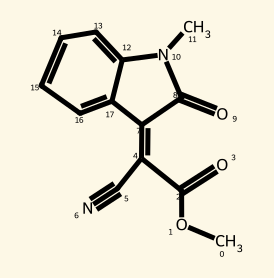 COC(=O)/C(C#N)=C1\C(=O)N(C)c2ccccc21